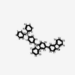 c1ccc(N(c2ccccc2)c2ccc(-n3c4ccccc4c4cc(-c5ccc6sc7ccccc7c6c5)ccc43)cc2)cc1